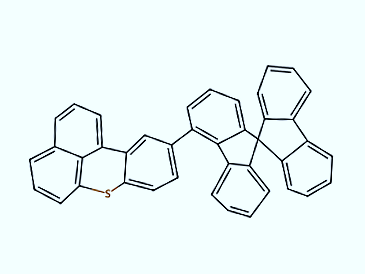 c1ccc2c(c1)-c1ccccc1C21c2ccccc2-c2c(-c3ccc4c(c3)-c3cccc5cccc(c35)S4)cccc21